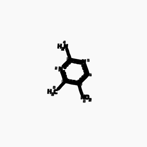 Cc1nc(N)ncc1[N+](=O)[O-]